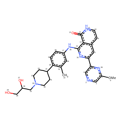 COc1cncc(-c2cc3cc[nH]c(=O)c3c(Nc3ccc(C4CCN(CC(O)CO)CC4)c(C)c3)n2)n1